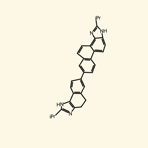 CC(C)c1nc2c([nH]1)-c1ccc(-c3ccc4c(ccc5c4ccc4[nH]c(C(C)C)nc45)c3)cc1CC2